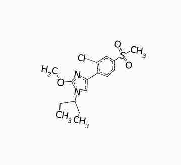 CCC(CC)n1cc(-c2ccc(S(C)(=O)=O)cc2Cl)nc1OC